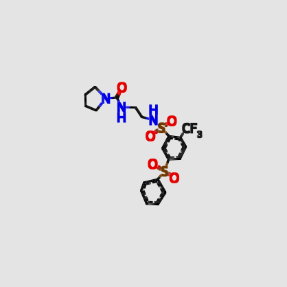 O=C(NCCNS(=O)(=O)c1cc(S(=O)(=O)c2ccccc2)ccc1C(F)(F)F)N1CCCC1